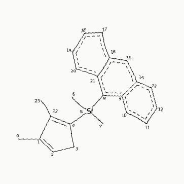 CC1=CCC([Si](C)(C)c2c3ccccc3cc3ccccc23)=C1C